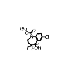 CC(C)(C)OC(=O)N1CCC(F)(F)[C@@](C)(O)c2cc(Cl)ccc21